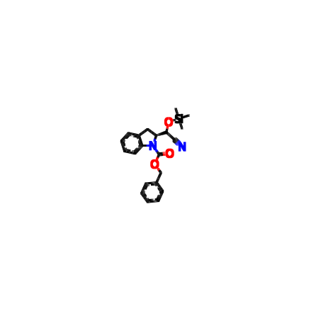 C[Si](C)(C)OC(C#N)[C@@H]1Cc2ccccc2N1C(=O)OCc1ccccc1